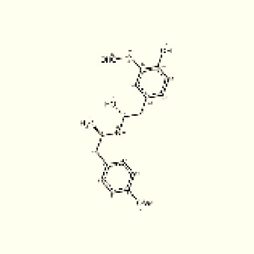 COc1ccc(C[C@@H](C)N[C@H](O)Cc2ccc(O)c(NC=O)c2)cc1